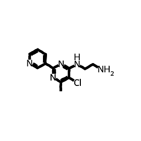 Cc1nc(-c2cccnc2)nc(NCCN)c1Cl